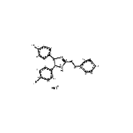 Cl.Fc1ccc(C2N=C(CCc3ccccc3)NC2c2ccc(F)cc2)cc1